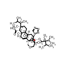 CC(C)[C@@H](C)[C@@]1(C)CC[C@]2(C)[C@H]3CC[C@@H]4[C@@]5(COC[C@@]4(C)[C@@H](OC[C@@](C)(C(C)C)N(C)C)[C@H](n4cnnn4)C5)C3=CC[C@@]2(C)[C@@H]1C(=O)O